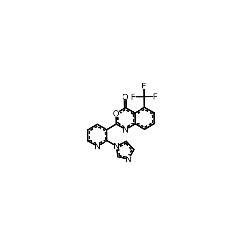 O=c1oc(-c2cccnc2-n2ccnc2)nc2cccc(C(F)(F)F)c12